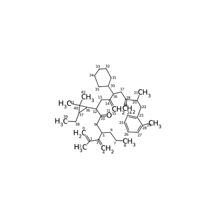 C=C(C)C(=C)C(CCC)CC(=O)C(CC(=C)C(CC(=C)C(C)Cc1ccccc1C)C1CCCCC1)C1C(CC)C1(C)C